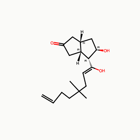 C=CCCC(C)(C)CC=C(O)[C@@H]1[C@@H]2CC(=O)C[C@@H]2C[C@H]1O